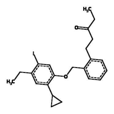 CCC(=O)CCc1ccccc1COc1cc(I)c(CC)cc1C1CC1